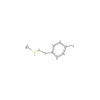 CCSCCc1ccc(C)cc1